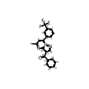 Cc1cc(-c2cccc(C(F)(F)F)c2)n2ncc(C(=O)c3ccccc3)c2n1